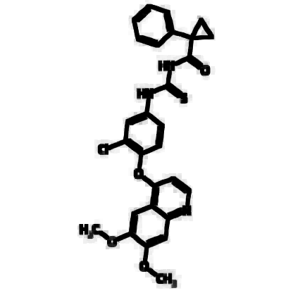 COc1cc2nccc(Oc3ccc(NC(=S)NC(=O)C4(c5ccccc5)CC4)cc3Cl)c2cc1OC